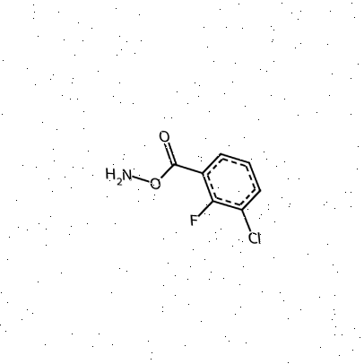 NOC(=O)c1cccc(Cl)c1F